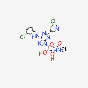 CCNC(=O)C1OC(n2cnc3c(NCc4cccc(Cl)c4)nc(-c4cncc(Cl)c4)nc32)C(O)C1O